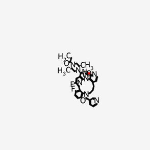 C=CC(=O)N1C[C@H](C)N(c2nc(=O)n3c4nc(c(F)cc24)-c2c(F)cccc2N(C(=O)c2cccnc2)CCCc2ccnc(C(C)C)c2-3)C[C@H]1C